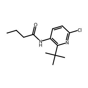 CCCC(=O)Nc1ccc(Cl)nc1C(C)(C)C